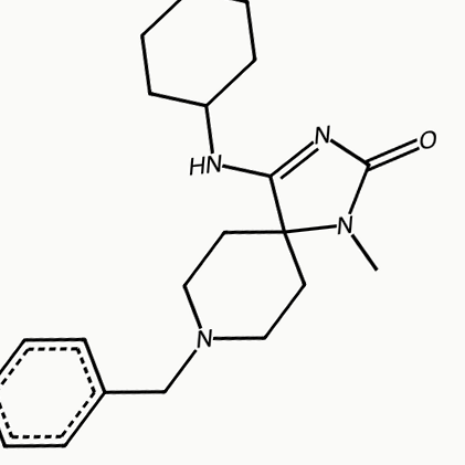 CN1C(=O)N=C(NC2CCCCC2)C12CCN(Cc1ccccc1)CC2